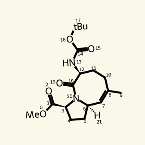 COC(=O)[C@@H]1CC[C@@H]2/C=C(/C)CC[C@H](NC(=O)OC(C)(C)C)C(=O)N21